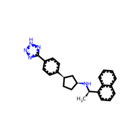 C[C@@H](N[C@H]1CC[C@@H](c2ccc(-c3nn[nH]n3)cc2)C1)c1cccc2ccccc12